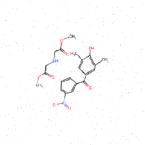 COC(=O)CNCC(=O)OC.Cc1cc(C(=O)c2cccc([N+](=O)[O-])c2)cc(C)c1O